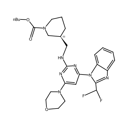 CCCCOC(=O)N1CCC[C@@H](CNc2nc(N3CCOCC3)cc(-n3c(C(F)F)nc4ccccc43)n2)C1